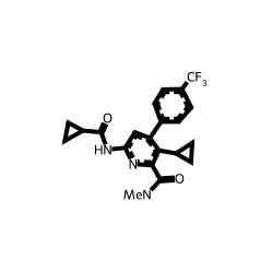 CNC(=O)c1nc(NC(=O)C2CC2)cc(-c2ccc(C(F)(F)F)cc2)c1C1CC1